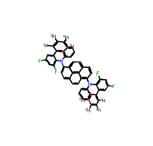 [2H]c1c([2H])c([2H])c(-c2cc(F)cc(F)c2N(c2ccccc2)c2ccc3ccc4c(N(c5ccccc5)c5c(F)cc(F)cc5-c5c([2H])c([2H])c([2H])c([2H])c5[2H])ccc5ccc2c3c54)c([2H])c1[2H]